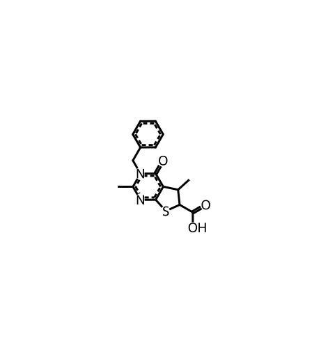 Cc1nc2c(c(=O)n1Cc1ccccc1)C(C)C(C(=O)O)S2